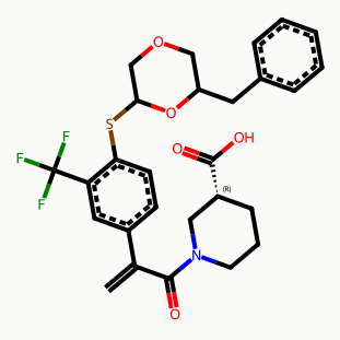 C=C(C(=O)N1CCC[C@@H](C(=O)O)C1)c1ccc(SC2COCC(Cc3ccccc3)O2)c(C(F)(F)F)c1